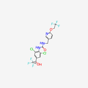 O=C(NCc1ccc(OCC(F)(F)F)nc1)Nc1c(Cl)cc([C@@H](O)C(F)(F)F)cc1Cl